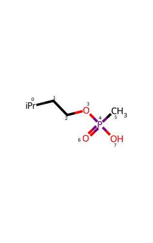 CC(C)CCOP(C)(=O)O